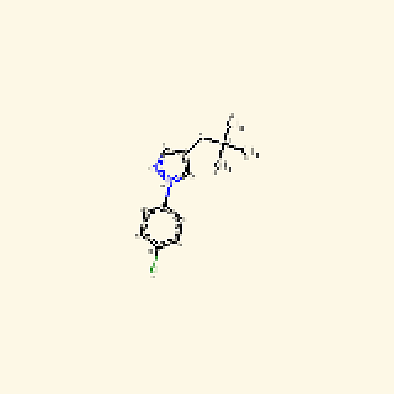 CC(C)(C)Cc1cnn(-c2ccc(Cl)cc2)c1